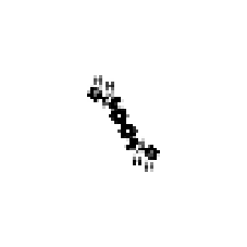 Cc1[nH]c([C@@H]2CCCN2)nc1-c1ccc(-c2ccc(-c3nc([C@@H]4CCCN4)[nH]c3C)cc2)cc1